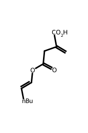 C=C(CC(=O)OC=CCCCC)C(=O)O